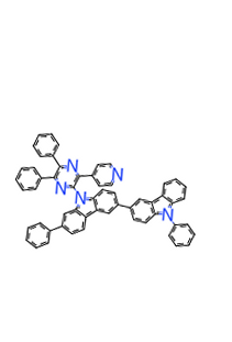 c1ccc(-c2ccc3c4cc(-c5ccc6c(c5)c5ccccc5n6-c5ccccc5)ccc4n(-c4nc(-c5ccccc5)c(-c5ccccc5)nc4-c4ccncc4)c3c2)cc1